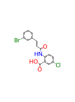 O=C(/C=C/c1cccc(Br)c1)Nc1ccc(Cl)cc1C(=O)O